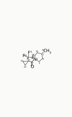 CC1CCN(C(=O)C2(C(F)(F)F)CC2)CC1